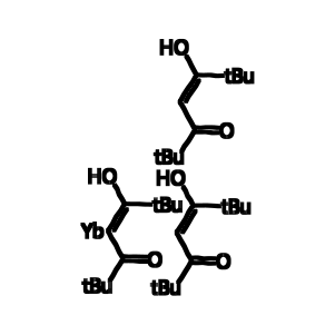 CC(C)(C)C(=O)/C=C(/O)C(C)(C)C.CC(C)(C)C(=O)/C=C(/O)C(C)(C)C.CC(C)(C)C(=O)/C=C(/O)C(C)(C)C.[Yb]